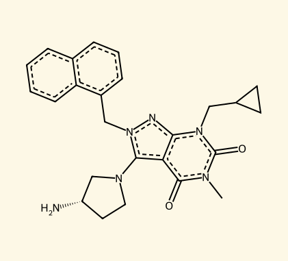 Cn1c(=O)c2c(N3CC[C@H](N)C3)n(Cc3cccc4ccccc34)nc2n(CC2CC2)c1=O